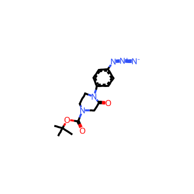 CC(C)(C)OC(=O)N1CCN(c2ccc(N=[N+]=[N-])cc2)C(=O)C1